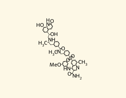 COc1cccc(Nc2c(C(N)=O)cnc3c(C)cc(S(=O)(=O)c4cccc(CN(C)C(=O)c5cccc(CC(C)NCC(O)c6ccc(O)c7[nH]c(=O)ccc67)c5)c4)cc23)c1